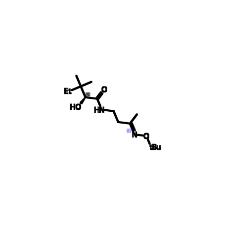 CCC(C)(C)[C@H](O)C(=O)NCC/C(C)=N/OC(C)(C)C